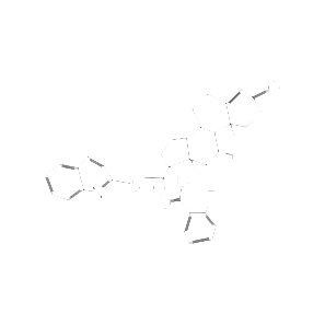 CC12CCC(=O)C=C1CCC1C2[C@@H](O)CC2(C)C1CC[C@]2(OC(=O)c1ccccc1F)C(=O)CSc1ccc2ccccc2n1